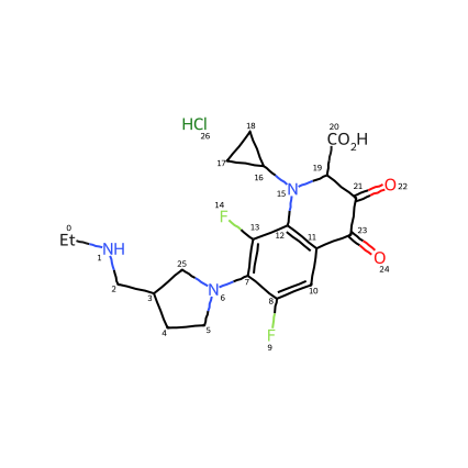 CCNCC1CCN(c2c(F)cc3c(c2F)N(C2CC2)C(C(=O)O)C(=O)C3=O)C1.Cl